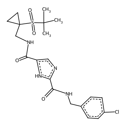 CC(C)(C)S(=O)(=O)C1(CNC(=O)c2cnc(C(=O)NCc3ccc(Cl)cc3)[nH]2)CC1